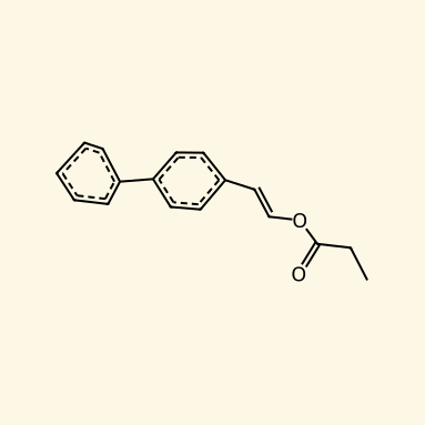 CCC(=O)O/C=C/c1ccc(-c2ccccc2)cc1